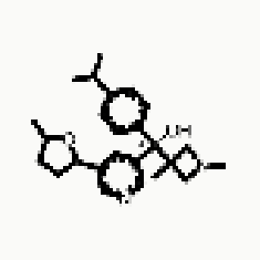 CC1CCC(c2cncc([C@@](O)(c3ccc(C(C)C)cc3)C3(C)CN(C)C3)c2)O1